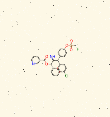 N=C(C(OC(=O)c1cccnc1)c1ccccc1)C(c1ccc(Cl)cc1)c1ccc(OS(=O)(=O)CF)cc1